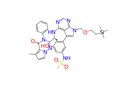 Cc1ccn2nc([C@H](C)Nc3ncnc4c3c(-c3cc(O)cc(NS(C)(=O)=O)c3)cn4COCC[Si](C)(C)C)n(-c3ccccc3)c(=O)c12